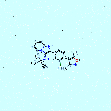 Cc1noc(C)c1-c1ccc(-c2nc3ccccn3c2NC(C)(C)C)cc1F